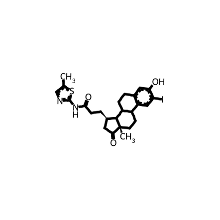 Cc1cnc(NC(=O)CC[C@@H]2CC(=O)[C@@]3(C)CCC4c5cc(I)c(O)cc5CCC4C23)s1